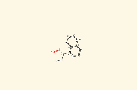 CCC([C]=O)c1cccc2ccccc12